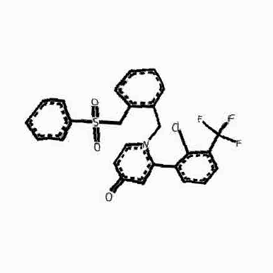 O=c1ccn(Cc2ccccc2CS(=O)(=O)c2ccccc2)c(-c2cccc(C(F)(F)F)c2Cl)c1